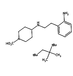 CC(C)(C)CC(C)(C)C(C)(C)C.Nc1ccccc1CCNC1CCN(C(=O)O)CC1